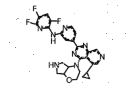 Fc1cc(F)c(Nc2cc(-c3nc(N4CCOC5CNCC54)c4c(C5CC5)cncc4n3)ccn2)nc1F